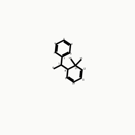 CC(c1ccccc1)C1C=CC=CC1(C)C